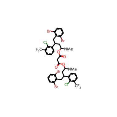 CNC(CC(Cc1c(Br)cccc1Br)c1cccc(C(F)(F)F)c1Cl)OC(=O)CC(=O)OC(CC(Cc1c(Br)cccc1Br)c1cccc(C(F)(F)F)c1Cl)NC